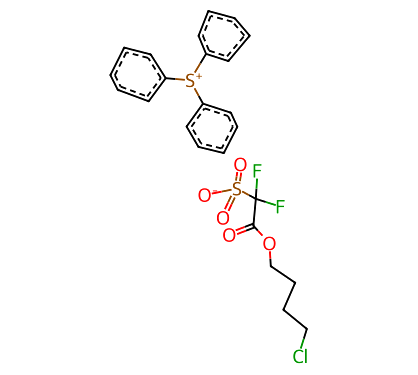 O=C(OCCCCCl)C(F)(F)S(=O)(=O)[O-].c1ccc([S+](c2ccccc2)c2ccccc2)cc1